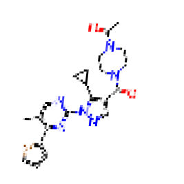 CC(=O)N1CCN(C(=O)c2cnn(-c3ncc(C)c(-c4cccs4)n3)c2C2CC2)CC1